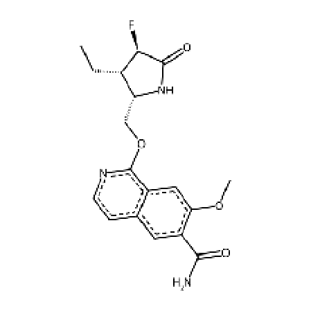 CC[C@H]1[C@@H](COc2nccc3cc(C(N)=O)c(OC)cc23)NC(=O)[C@@H]1F